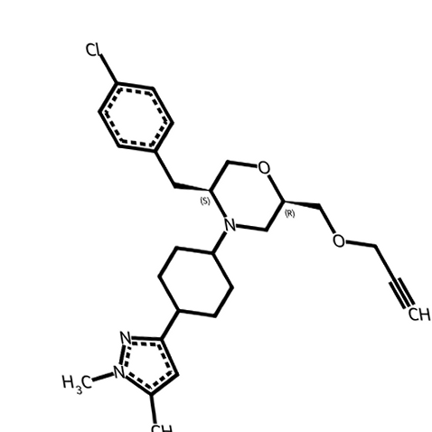 C#CCOC[C@H]1CN(C2CCC(c3cc(C)n(C)n3)CC2)[C@@H](Cc2ccc(Cl)cc2)CO1